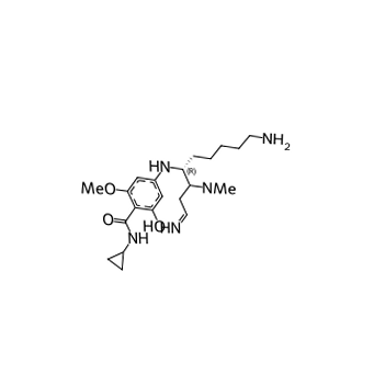 CNC(CC=N)[C@@H](CCCCCN)Nc1cc(O)c(C(=O)NC2CC2)c(OC)c1